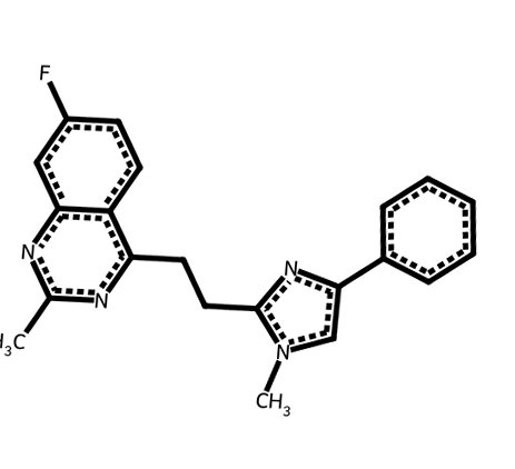 Cc1nc(CCc2nc(-c3ccccc3)cn2C)c2ccc(F)cc2n1